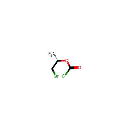 O=C(Cl)O[C@H](CBr)C(F)(F)F